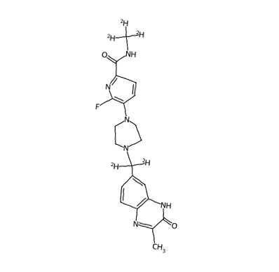 [2H]C([2H])([2H])NC(=O)c1ccc(N2CCN(C([2H])([2H])c3ccc4nc(C)c(=O)[nH]c4c3)CC2)c(F)n1